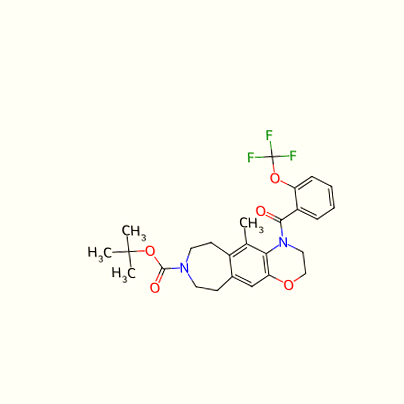 Cc1c2c(cc3c1N(C(=O)c1ccccc1OC(F)(F)F)CCO3)CCN(C(=O)OC(C)(C)C)CC2